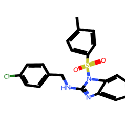 Cc1ccc(S(=O)(=O)n2c(NCc3ccc(Cl)cc3)nc3ccccc32)cc1